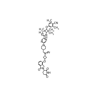 Cc1cc(OC2C(C)(C)C(NC(=O)c3cnc(N4CCC(CN(C(C)C)C5CC(Oc6cccc7c6CN([C@@H]6CCC(=O)NC6=O)C7=O)C5)CC4)cn3)C2(C)C)cc(C)c1C#N